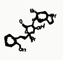 CC(C)C1(CCc2ccccc2CO)CC(O)=C(Sc2cc3c(cc2C(C)(C)C)NCC3)C(=O)O1